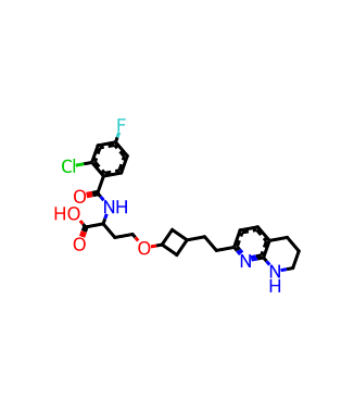 O=C(NC(CCOC1CC(CCc2ccc3c(n2)NCCC3)C1)C(=O)O)c1ccc(F)cc1Cl